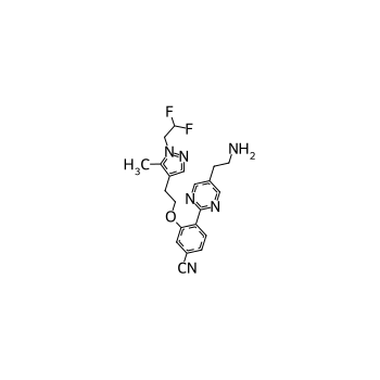 Cc1c(CCOc2cc(C#N)ccc2-c2ncc(CCN)cn2)cnn1CC(F)F